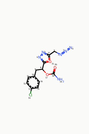 [N-]=[N+]=NCc1nnc(C(Cc2ccc(Cl)cc2)OC(N)=O)o1